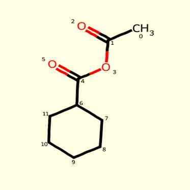 CC(=O)OC(=O)C1CCCCC1